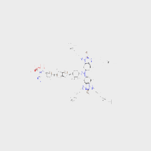 CCCCCCn1c(=S)n(CCCCCC)c2cc(N(c3ccc(-c4cc5sc(-c6ccc(/C=C(\C#N)C(=O)O)s6)cc5s4)cc3)c3ccc4c(c3)n(CCCCCC)c(=S)n4CCCCCC)ccc21